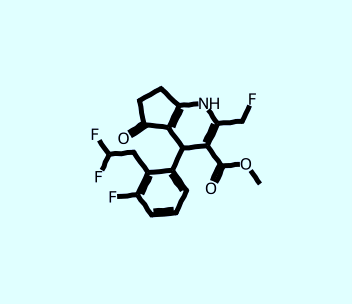 COC(=O)C1=C(CF)NC2=C(C(=O)CC2)C1c1cccc(F)c1CC(F)F